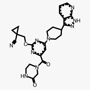 N#CC1(COc2nc(C(=O)N3CCNC(=O)C3)cc(N3CCC(c4n[nH]c5ncccc45)CC3)n2)CC1